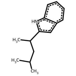 CC(C)CC(C)c1cc2ccccc2[nH]1